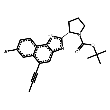 CC#Cc1cc2nc([C@@H]3CCCN3C(=O)OC(C)(C)C)[nH]c2c2ccc(Br)cc12